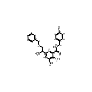 NC(COCc1ccccc1)c1nc(O)c(O)c(C(=O)NCc2ccc(F)cc2)n1